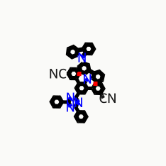 N#Cc1cccc(-c2cc(-c3nc(-c4ccccc4)nc(-c4ccccc4)n3)cc(-c3cccc(C#N)c3)c2-n2c3ccccc3c3cc(-n4c5ccccc5c5ccccc54)ccc32)c1